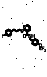 O=C(NCc1ccc(OC(F)(F)F)cc1)c1cccnc1SCCCc1ccc(F)cc1